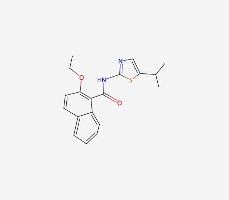 CCOc1ccc2ccccc2c1C(=O)Nc1ncc(C(C)C)s1